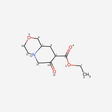 CCOC(=O)C1CC2COCCN2CC1=O